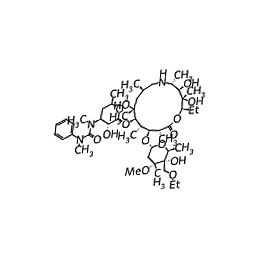 CCOC[C@]1(O)[C@H](C)O[C@@H](O[C@H]2[C@H](C)[C@@H](O[C@@H]3O[C@H](C)C[C@H](N(C)C(=O)N(C)c4ccccc4)[C@H]3O)[C@](C)(O)C[C@@H](C)CN[C@H](C)[C@@H](O)[C@](C)(O)[C@@H](CC)OC(=O)[C@@H]2C)C[C@@]1(C)OC